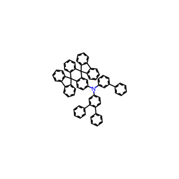 c1ccc(-c2cccc(N(c3ccc(-c4ccccc4)c(-c4ccccc4)c3)c3ccc4c(c3)C3(c5ccccc5-c5ccccc53)c3ccccc3C43c4ccccc4-c4ccccc43)c2)cc1